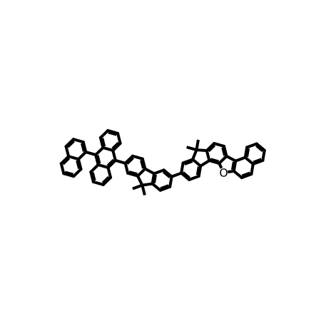 CC1(C)c2ccc(-c3ccc4c(c3)C(C)(C)c3ccc5c(oc6ccc7ccccc7c65)c3-4)cc2-c2ccc(-c3c4ccccc4c(-c4cccc5ccccc45)c4ccccc34)cc21